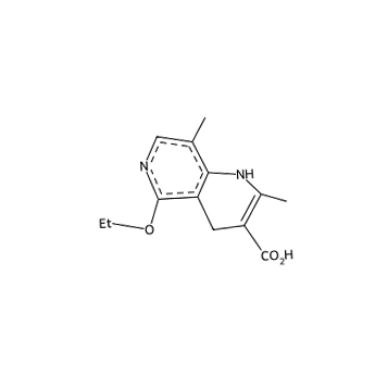 CCOc1ncc(C)c2c1CC(C(=O)O)=C(C)N2